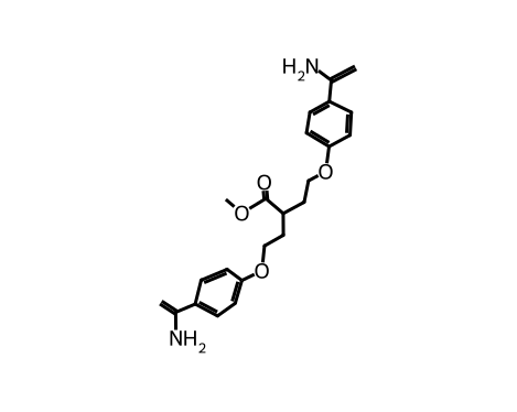 C=C(N)c1ccc(OCCC(CCOc2ccc(C(=C)N)cc2)C(=O)OC)cc1